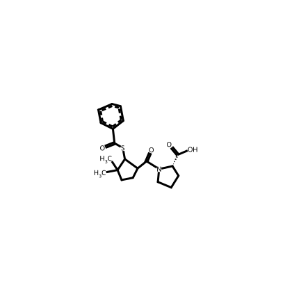 CC1(C)CCC(C(=O)N2CCC[C@H]2C(=O)O)C1SC(=O)c1ccccc1